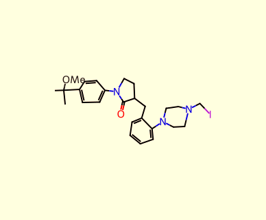 COC(C)(C)c1ccc(N2CCC(Cc3ccccc3N3CCN(CI)CC3)C2=O)cc1